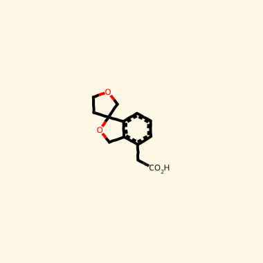 O=C(O)Cc1cccc2c1COC21CCOC1